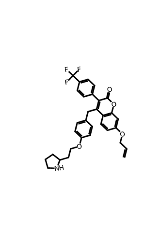 C=CCOc1ccc2c(Cc3ccc(OCCC4CCCN4)cc3)c(-c3ccc(C(F)(F)F)cc3)c(=O)oc2c1